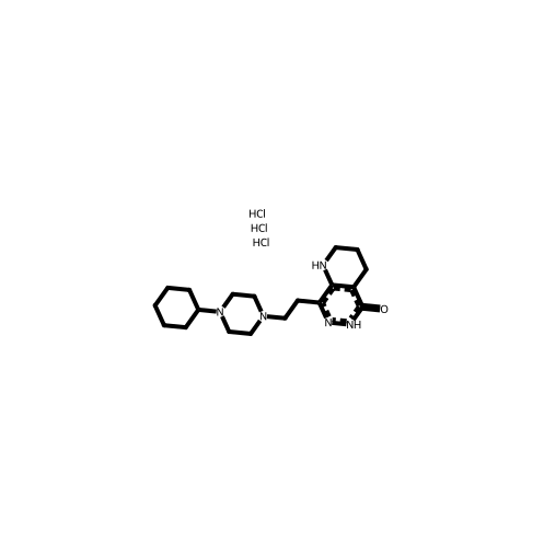 Cl.Cl.Cl.O=c1[nH]nc(CCN2CCN(C3CCCCC3)CC2)c2c1CCCN2